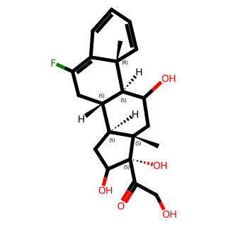 C[C@]12C=CC=CC1=C(F)C[C@@H]1[C@@H]2C(O)C[C@@]2(C)[C@H]1CC(O)[C@]2(O)C(=O)CO